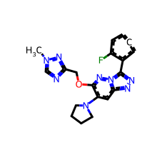 Cn1cnc(COc2nn3c(-c4ccccc4F)nnc3cc2N2CCCC2)n1